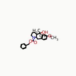 COc1ccc(CC2C(C(C)(C)O)CCCN2C(=O)OCc2ccccc2)cc1